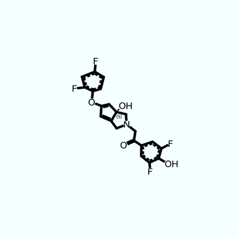 O=C(CN1CC2=CC(Oc3ccc(F)cc3F)=C[C@@]2(O)C1)c1cc(F)c(O)c(F)c1